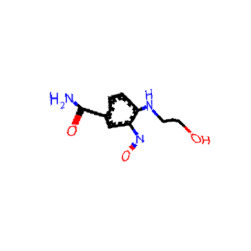 NC(=O)c1ccc(NCCO)c(N=O)c1